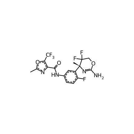 Cc1nc(C(=O)Nc2ccc(F)c([C@@]3(C)N=C(N)OCC3(F)F)c2)c(C(F)(F)F)o1